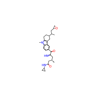 CC(CC1CO1)C1CCc2c(c3cc(C(=O)C(=N)C[C@@H](C)CC(=O)NC4CC4)ccc3n2C)C1